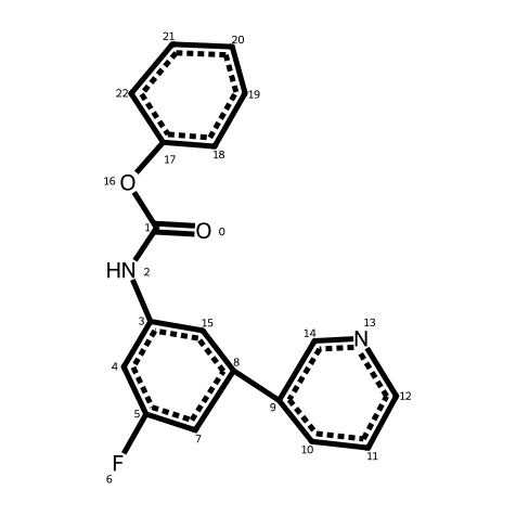 O=C(Nc1cc(F)cc(-c2cccnc2)c1)Oc1ccccc1